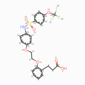 O=C(O)CCc1ccccc1OCCOc1ccc(NS(=O)(=O)c2ccc(OC(F)(F)F)cc2)cc1